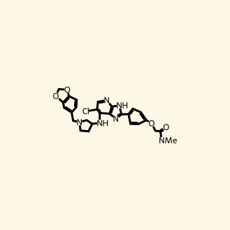 CNC(=O)COc1ccc(-c2nc3c(NC4CCN(Cc5ccc6c(c5)OCO6)C4)c(Cl)cnc3[nH]2)cc1